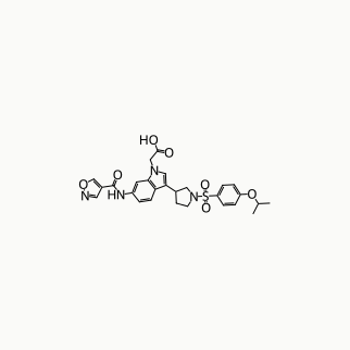 CC(C)Oc1ccc(S(=O)(=O)N2CCC(c3cn(CC(=O)O)c4cc(NC(=O)c5cnoc5)ccc34)C2)cc1